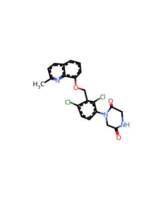 Cc1ccc2cccc(OCc3c(Cl)ccc(N4CC(=O)NCC4=O)c3Cl)c2n1